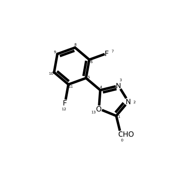 O=Cc1nnc(-c2c(F)cccc2F)o1